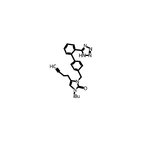 C#CCCc1cn(C(C)CC)c(=O)n1Cc1ccc(-c2ccccc2-c2nnn[nH]2)cc1